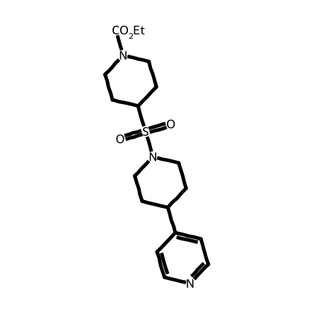 CCOC(=O)N1CCC(S(=O)(=O)N2CCC(c3ccncc3)CC2)CC1